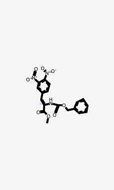 COC(=O)/C(=C/c1ccc([N+](=O)[O-])c([N+](=O)[O-])c1)NC(=O)OCc1ccccc1